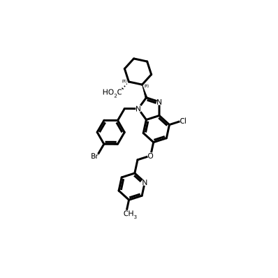 Cc1ccc(COc2cc(Cl)c3nc([C@@H]4CCCC[C@H]4C(=O)O)n(Cc4ccc(Br)cc4)c3c2)nc1